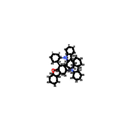 c1ccc(-n2c3ccccc3c3ccccc32)c(-c2cc(-n3c4ccccc4c4ccccc43)cc3c2oc2ccccc23)c1